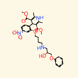 COC(=O)C1=C(C)NC(C)=C(C(=O)OC)C1c1ccc([N+](=O)[O-])cc1OCCCCNCC(O)COc1ccccc1